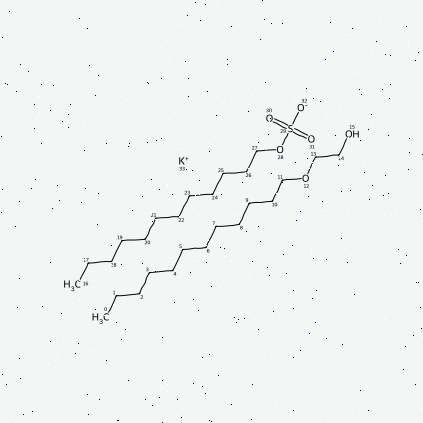 CCCCCCCCCCCCOCCO.CCCCCCCCCCCCOS(=O)(=O)[O-].[K+]